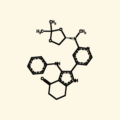 CN(c1cc(-c2[nH]c3c(c2Nc2ccccc2)C(=O)CCC3)ccn1)[C@@H]1COC(C)(C)O1